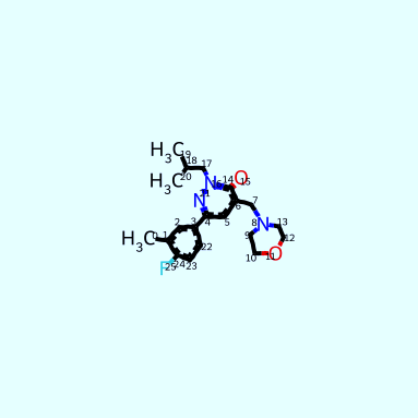 Cc1cc(-c2cc(CN3CCOCC3)c(=O)n(CC(C)C)n2)ccc1F